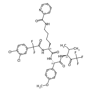 COc1ccc([C@H](NC(=O)[C@H](CCCCNC(=O)c2ccccn2)NC(=O)C(F)(F)c2ccc(Cl)c(Cl)c2)C(=O)N[C@H](C(=O)C(F)(F)F)C(C)C)cc1